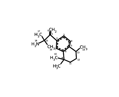 C=C(c1ccc2c(c1)C(C)(C)CCC2C)C(C)(C)N